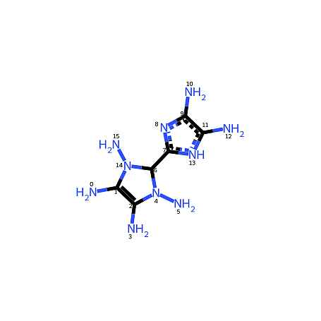 NC1=C(N)N(N)C(c2nc(N)c(N)[nH]2)N1N